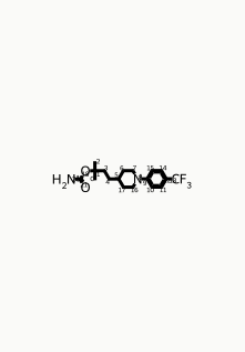 CC(C)(CCC1CCN(c2ccc(C(F)(F)F)cc2)CC1)OC(N)=O